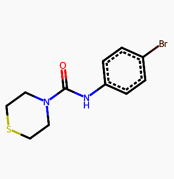 O=C(Nc1ccc(Br)cc1)N1CCSCC1